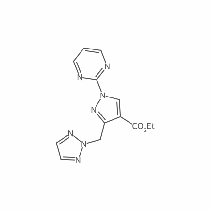 CCOC(=O)c1cn(-c2ncccn2)nc1Cn1nccn1